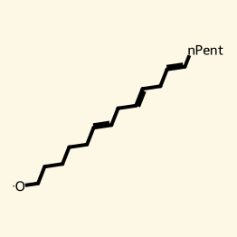 CCCCCC=CCC=CCC=CCCCCC[O]